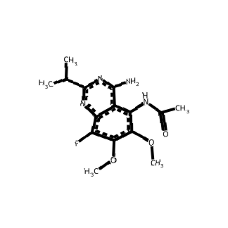 COc1c(OC)c(NC(C)=O)c2c(N)nc(C(C)C)nc2c1F